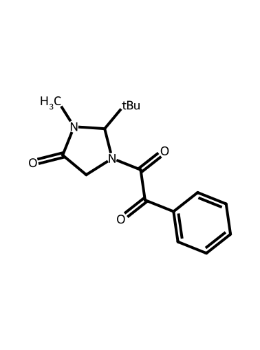 CN1C(=O)CN(C(=O)C(=O)c2ccccc2)C1C(C)(C)C